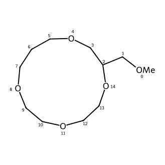 COCC1COCCCOCCOCCO1